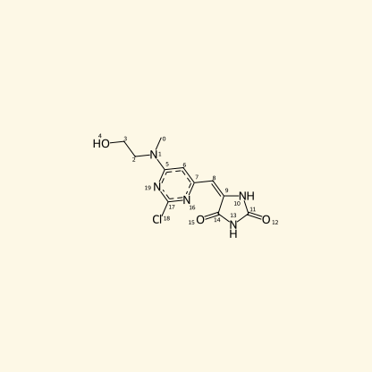 CN(CCO)c1cc(/C=C2/NC(=O)NC2=O)nc(Cl)n1